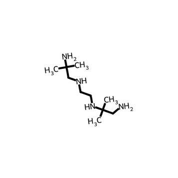 CC(C)(N)CNCCNC(C)(C)CN